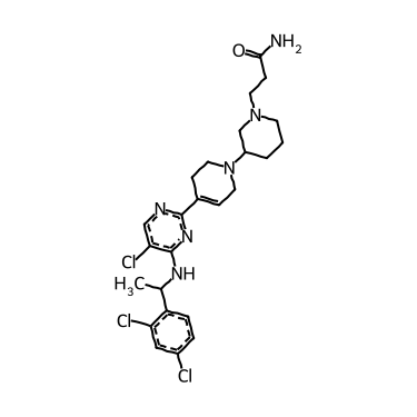 CC(Nc1nc(C2=CCN(C3CCCN(CCC(N)=O)C3)CC2)ncc1Cl)c1ccc(Cl)cc1Cl